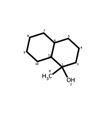 CC1(O)CCCC2CCCCC21